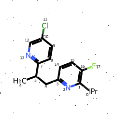 CC(C)c1nc(CC(C)c2ccc(Cl)cn2)ccc1F